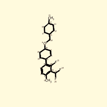 Cc1ccc(C2CCC(OCC3CCC(C)CC3)CC2)c(F)c1C(F)F